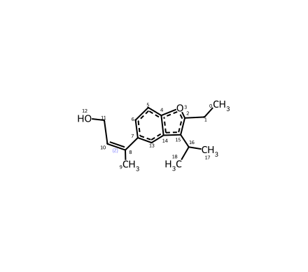 CCc1oc2ccc(/C(C)=C\CO)cc2c1C(C)C